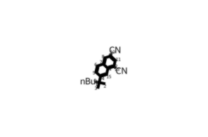 CCCCC(C)(C)c1ccc2cc(C#N)cc(C#N)c2c1